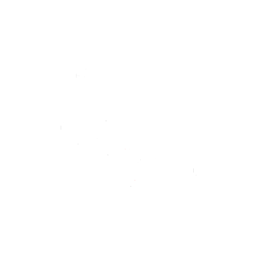 [CH2]COC(=O)OCC(CC)CCCC